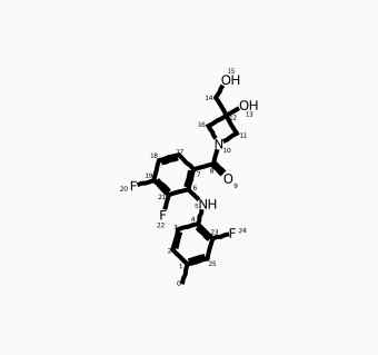 Cc1ccc(Nc2c(C(=O)N3CC(O)(CO)C3)ccc(F)c2F)c(F)c1